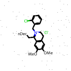 CCCCCCCCCCCC1=[N+](Cc2ccccc2Cl)CCc2cc(OC)c(OC)cc21.[Cl-]